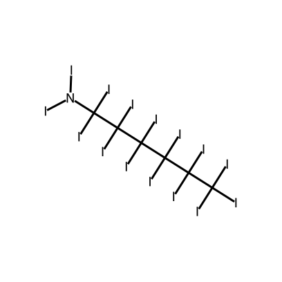 IN(I)C(I)(I)C(I)(I)C(I)(I)C(I)(I)C(I)(I)C(I)(I)I